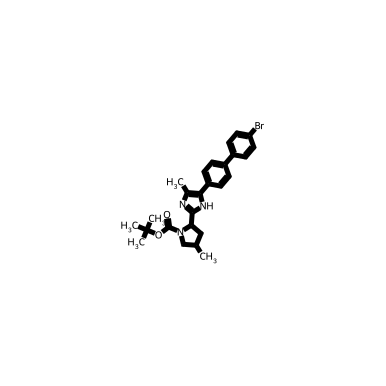 Cc1nc(C2CC(C)CN2C(=O)OC(C)(C)C)[nH]c1-c1ccc(-c2ccc(Br)cc2)cc1